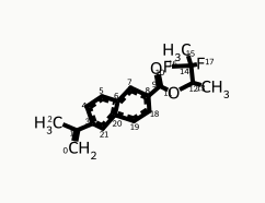 C=C(C)c1ccc2cc(C(=O)OC(C)C(C)(F)F)ccc2c1